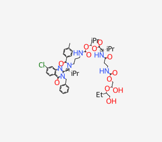 CCC(CO)OC(O)COC(=O)NCCC(=O)N[C@H](C(=O)OC(OC(=O)NCCCN(C(=O)c1ccc(C)cc1)[C@@H](c1nc2cc(Cl)ccc2c(=O)n1Cc1ccccc1)C(C)C)C(C)C)C(C)C